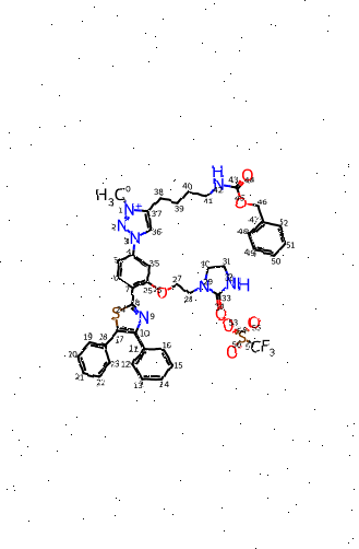 C[n+]1nn(-c2ccc(-c3nc(-c4ccccc4)c(-c4ccccc4)s3)c(OCCN3CCNC3=O)c2)cc1CCCCNC(=O)OCc1ccccc1.O=S(=O)([O-])C(F)(F)F